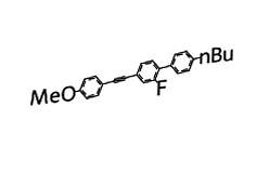 CCCCc1ccc(-c2ccc(C#Cc3ccc(OC)cc3)cc2F)cc1